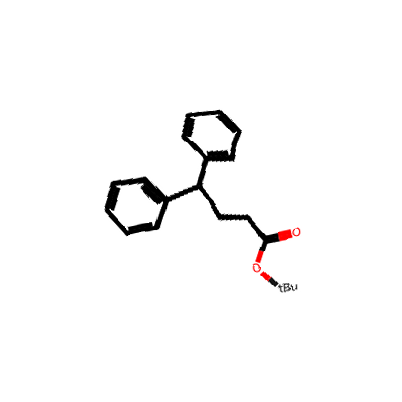 CC(C)(C)OC(=O)CCC(c1ccccc1)c1ccccc1